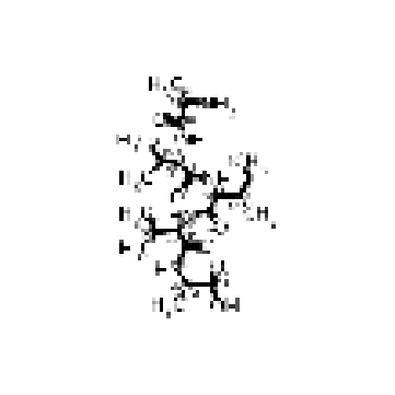 CC[C@H](C)[C@H](NC(=O)[C@@H](NC(=O)[C@H](C)N)C(C)C)C(=O)N[C@H](C(=O)N[C@@H](C)C(=O)O)C(C)C